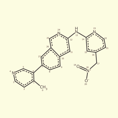 Cc1ccncc1-c1ccc2cc(Nc3cc(C[N+](=O)[O-])ccn3)ncc2c1